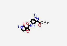 COC(=O)c1n[nH]c2ccc(NC(=O)c3coc4c3C(=O)NCC4)cc12